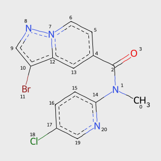 CN(C(=O)c1ccn2ncc(Br)c2c1)c1ccc(Cl)cn1